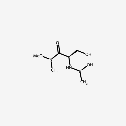 CON(C)C(=O)[C@@H](CO)NB(C)O